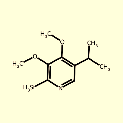 COc1c(C(C)C)cnc([SiH3])c1OC